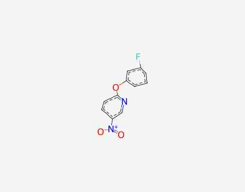 O=[N+]([O-])c1ccc(Oc2cccc(F)c2)nc1